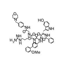 COc1ccccc1-c1ccc(C[C@H](NC(=O)[C@H](Cc2c[nH]c3ccc(O)cc23)NC(=O)c2ccccc2)C(=O)NC(CCCCNC(=N)N)C(=O)NCC(=O)Nc2ccc(CN3CCOCC3)cc2)cc1